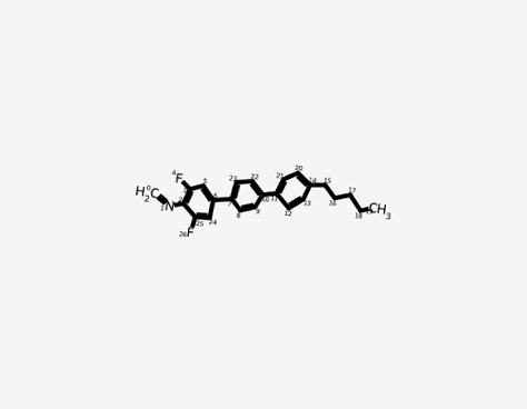 C=Nc1c(F)cc(-c2ccc(-c3ccc(CCCCC)cc3)cc2)cc1F